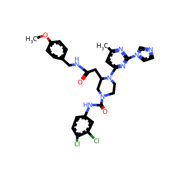 COc1ccc(CNC(=O)CC2CN(C(=O)Nc3ccc(Cl)c(Cl)c3)CCN2c2cc(C)nc(-n3ccnc3)n2)cc1